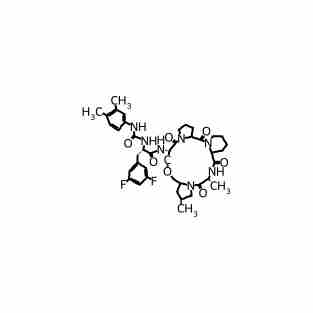 Cc1ccc(NC(=O)N[C@@H](Cc2cc(F)cc(F)c2)C(=O)N[C@H]2COCC3C[C@H](C)CN3C(=O)[C@H](C)NC(=O)C3CCCCN3C(=O)C3CCCN3C2=O)cc1C